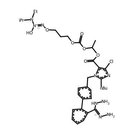 CCCCc1nc(Cl)c(C(=O)OC(C)OC(=O)OCCCO/N=[N+](\O)N(CC)C(C)C)n1Cc1ccc(-c2ccccc2/C(=N/N)NN)cc1